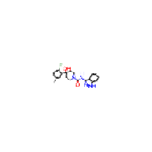 Cc1ccc(F)c(C2(O)CCN(C(=O)Nc3n[nH]c4ccccc34)CC2)c1